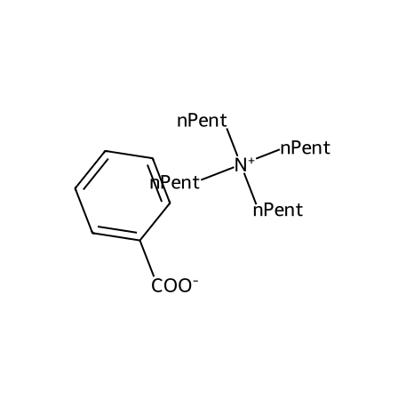 CCCCC[N+](CCCCC)(CCCCC)CCCCC.O=C([O-])c1ccccc1